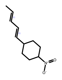 C/C=C/C=C/C1CCC([N+](=O)[O-])CC1